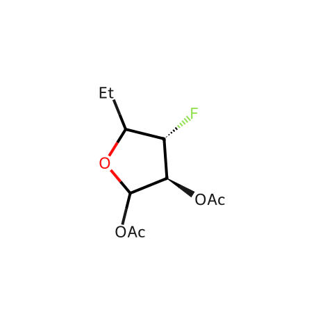 CCC1OC(OC(C)=O)[C@H](OC(C)=O)[C@H]1F